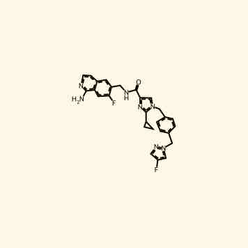 Nc1nccc2cc(CNC(=O)c3cn(Cc4ccc(Cn5cc(F)cn5)cc4)c(C4CC4)n3)c(F)cc12